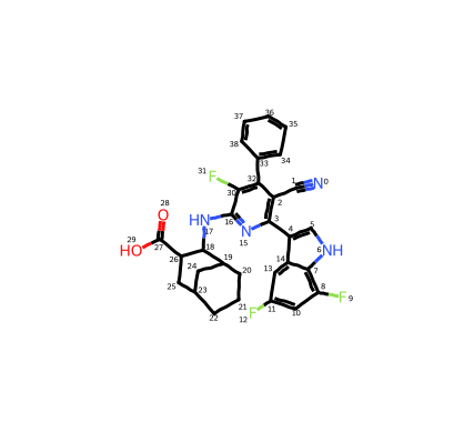 N#Cc1c(-c2c[nH]c3c(F)cc(F)cc23)nc(NC2C3CCCC(C3)CC2C(=O)O)c(F)c1-c1ccccc1